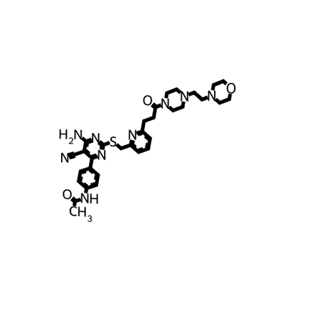 CC(=O)Nc1ccc(-c2nc(SCc3cccc(CCC(=O)N4CCN(CCN5CCOCC5)CC4)n3)nc(N)c2C#N)cc1